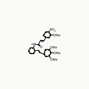 COc1cc(/C=C/C(=O)Nc2ccccc2C=Cc2cc(OC)c(OC)c(OC)c2)ccc1[N+](=O)[O-]